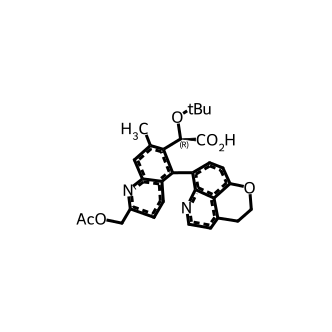 CC(=O)OCc1ccc2c(-c3ccc4c5c(ccnc35)CCO4)c([C@@H](OC(C)(C)C)C(=O)O)c(C)cc2n1